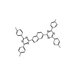 Cc1ccc(-c2nc(-c3ccc(C)cc3)nc(-c3ccc4cc(-c5nc(-c6ccc(C)cc6)nc(-c6ccc(C)cc6)n5)ccc4c3)n2)cc1